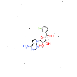 C[C@@]1(O)[C@@H]([C@H](O)c2cccc(F)c2)O[C@@H](n2ccc3c(N)ncnc32)[C@@H]1O